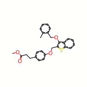 COC(=O)CCc1ccc(OCc2sc3ccccc3c2OCc2ccccc2C)cc1